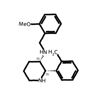 COc1ccccc1CN[C@H]1CCCN[C@H]1c1ccccc1C